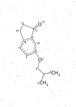 CC(C)COc1ccc2c(c1)C(=O)CC2